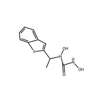 CC(c1cc2ccccc2s1)N(O)C(=O)NO